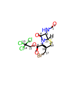 O=CN[C@@H]1C(=O)N2C(C(=O)OCC(Cl)(Cl)Cl)=C(CBr)CS[C@@H]12